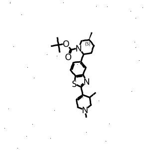 CC1CN(C)CC=C1c1nc2cc(C3CC[C@H](C)CN3C(=O)OC(C)(C)C)ccc2s1